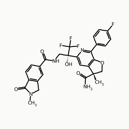 CN1Cc2cc(C(=O)NC[C@](O)(c3cc4c(c(-c5ccc(F)cc5)n3)OC[C@]4(C)C(N)=O)C(F)(F)F)ccc2C1=O